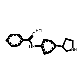 Cl.O=C(Nc1ccc(C2CCNC2)cc1)c1ccccc1